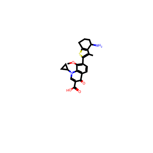 COc1c(-c2sc3c(c2C)C(N)CCC3)ccc2c(=O)c(C(=O)O)cn(C3CC3)c12